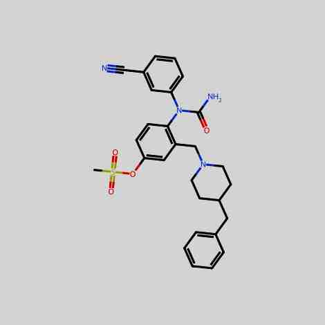 CS(=O)(=O)Oc1ccc(N(C(N)=O)c2cccc(C#N)c2)c(CN2CCC(Cc3ccccc3)CC2)c1